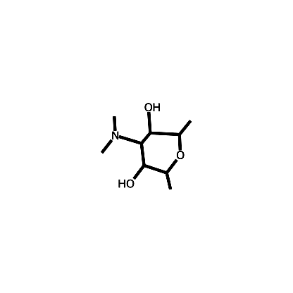 CC1OC(C)C(O)C(N(C)C)C1O